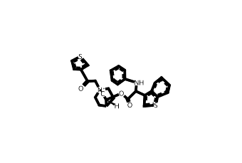 O=C(C[N+]12CCC(CC1)[C@@H](OC(=O)C(Nc1ccccc1)c1csc3ccccc13)C2)c1ccsc1